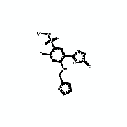 CNS(=O)(=O)c1cc(-c2noc(=O)[nH]2)c(NCc2ccco2)cc1Cl